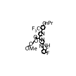 CCCOc1ccc(-c2ccc(C(C(=O)OCCOCCOC)N3Cc4nc(-c5cccc(F)c5F)[nH]c4C=N3)cn2)c(C(F)(F)F)c1